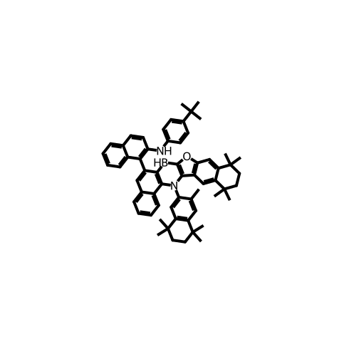 Cc1cc2c(cc1N1c3c(c(-c4c(Nc5ccc(C(C)(C)C)cc5)ccc5ccccc45)cc4ccccc34)Bc3oc4cc5c(cc4c31)C(C)(C)CCC5(C)C)C(C)(C)CCC2(C)C